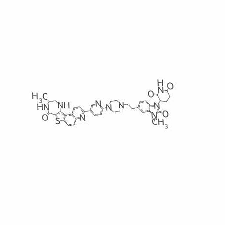 C[C@@H]1CNc2c(sc3ccc4nc(-c5ccc(N6CCN(CCc7ccc8c(c7)n(C)c(=O)n8C7CCC(=O)NC7=O)CC6)nc5)ccc4c23)C(=O)N1